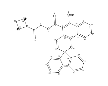 CC(=O)Oc1c(C(=O)OCC(=O)C2NCN2)c2c(c3ccccc13)OC(c1ccccc1)(c1ccccc1)C=C2